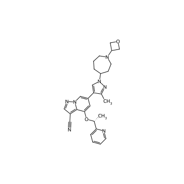 Cc1nn(C2CCCN(C3COC3)CC2)cc1-c1cc(O[C@H](C)c2ccccn2)c2c(C#N)cnn2c1